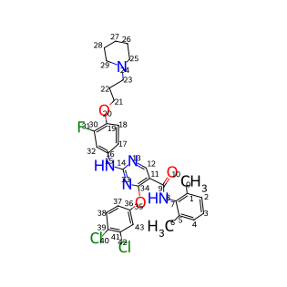 Cc1cccc(C)c1NC(=O)c1cnc(Nc2ccc(OCCCN3CCCCC3)c(F)c2)nc1Oc1ccc(Cl)c(Cl)c1